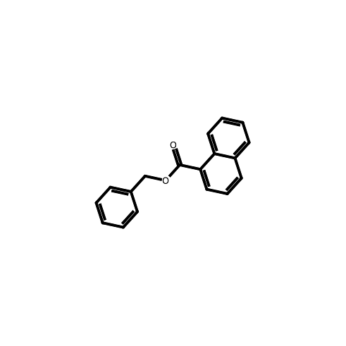 O=C(OCc1ccccc1)c1cccc2ccccc12